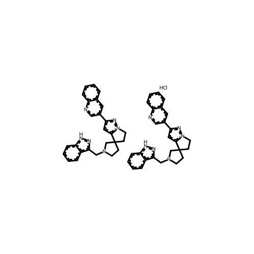 Cl.c1ccc2ncc(-c3cc4n(n3)CCC43CCN(Cc4n[nH]c5ccccc45)C3)cc2c1.c1ccc2ncc(-c3cc4n(n3)CCC43CCN(Cc4n[nH]c5ccccc45)C3)cc2c1